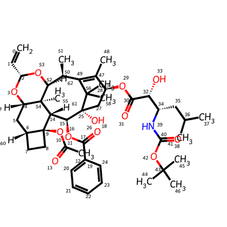 C=C[C@H]1O[C@H]2C[C@H]3CC[C@@]3(OC(C)=O)[C@H]3[C@H](OC(=O)c4ccccc4)[C@]4(O)C[C@H](OC(=O)[C@H](O)[C@H](CC(C)C)NC(=O)OC(C)(C)C)C(C)=C([C@H](C)[C@H](O1)[C@]23C)C4(C)C